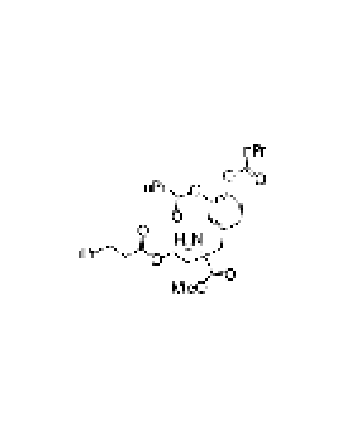 CCCC(=O)Oc1ccc(C[C@](N)(CCOC(=O)CCC(C)C)C(=O)OC)cc1OC(=O)CCC